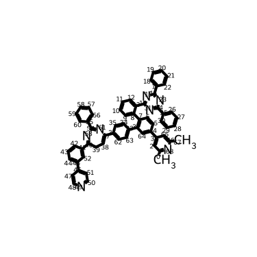 Cc1cc(-c2ccc(-c3ccccc3-c3nc(-c4ccccc4)nc(-c4ccccc4)n3)c(-c3ccc(C4=CCC(c5cccc(-c6ccncc6)c5)=NC(c5ccccc5)=N4)cc3)c2)cc(C)n1